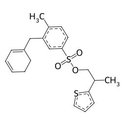 Cc1ccc(S(=O)(=O)OCC(C)c2cccs2)cc1CC1=CC=CCC1